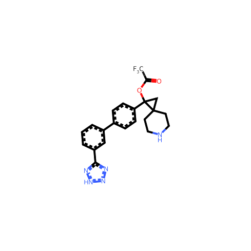 O=C(OC1(c2ccc(-c3cccc(-c4nn[nH]n4)c3)cc2)CC12CCNCC2)C(F)(F)F